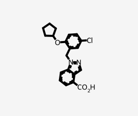 O=C(O)c1cccc2c1cnn2Cc1cc(Cl)ccc1OC1CCCC1